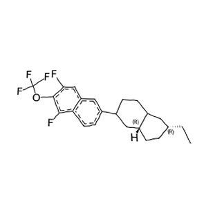 CC[C@@H]1CC[C@@H]2CC(c3ccc4c(F)c(OC(F)(F)F)c(F)cc4c3)CCC2C1